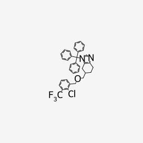 FC(F)(F)c1cccc(COCC2CCc3ncn(C(c4ccccc4)(c4ccccc4)c4ccccc4)c3C2)c1Cl